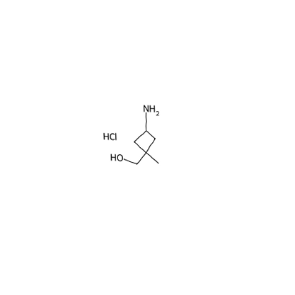 CC1(CO)CC(N)C1.Cl